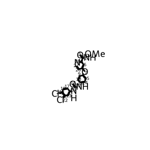 CONC(=O)c1cc(Oc2ccc(NC(=O)Nc3ccc(Cl)c(Cl)c3)cc2)ccn1